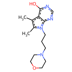 Cc1c(C)n(CCCN2CCOCC2)c2ncnc(O)c12